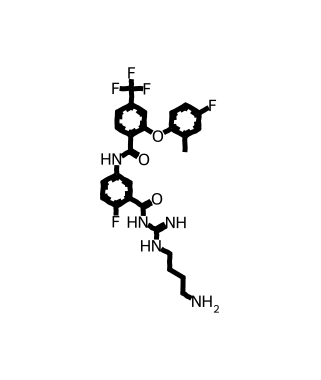 Cc1cc(F)ccc1Oc1cc(C(F)(F)F)ccc1C(=O)Nc1ccc(F)c(C(=O)NC(=N)NCCCCN)c1